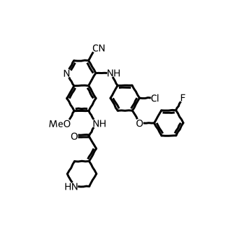 COc1cc2ncc(C#N)c(Nc3ccc(Oc4cccc(F)c4)c(Cl)c3)c2cc1NC(=O)C=C1CCNCC1